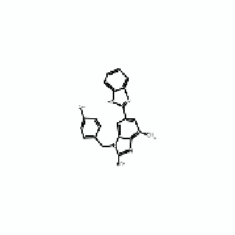 CCCc1nc2c(C)cc(-c3nc4ccccc4[nH]3)cc2n1Cc1ccc(O)cc1